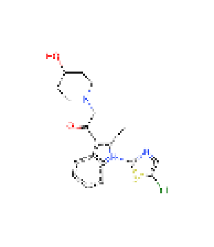 Cc1c(C(=O)CN2CCC(O)CC2)c2ccccc2n1-c1ncc(Cl)s1